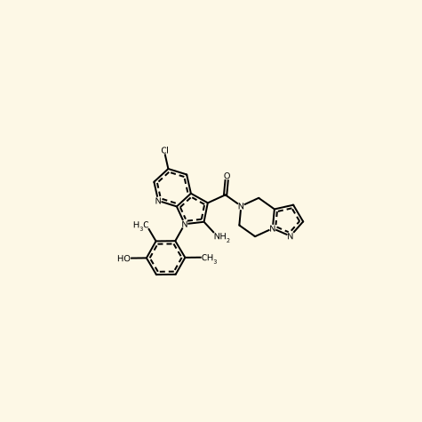 Cc1ccc(O)c(C)c1-n1c(N)c(C(=O)N2CCn3nccc3C2)c2cc(Cl)cnc21